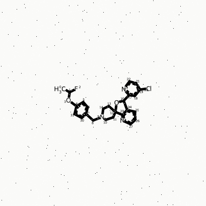 CC(F)Oc1ccc(CN2CCC3(CC2)OC(c2cc(Cl)ccn2)c2cccnc23)cc1